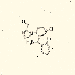 NC(c1ccccc1Cl)c1cc(Cl)ccc1-n1ccnc1C=O